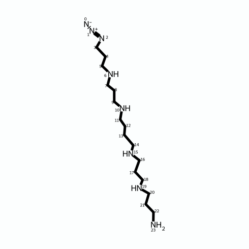 [N-]=[N+]=NCCCNCCCNCCCCNCCCNCCCN